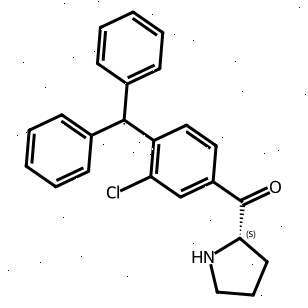 O=C(c1ccc([C](c2ccccc2)c2ccccc2)c(Cl)c1)[C@@H]1CCCN1